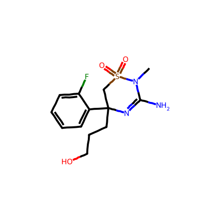 CN1C(N)=NC(CCCO)(c2ccccc2F)CS1(=O)=O